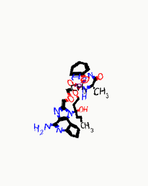 CCCC(O)(CCO[P@](=O)(N[C@@H](C)C(N)=O)Oc1ccccc1)n1c(COCC)nc2c(N)nc3ccccc3c21